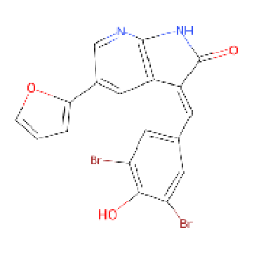 O=C1Nc2ncc(-c3ccco3)cc2/C1=C\c1cc(Br)c(O)c(Br)c1